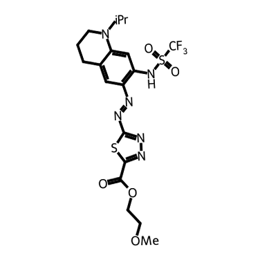 COCCOC(=O)c1nnc(N=Nc2cc3c(cc2NS(=O)(=O)C(F)(F)F)N(C(C)C)CCC3)s1